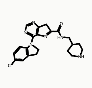 O=C(NCC1CCNCC1)C1=Nc2c(ncnc2N2CCc3cc(Cl)ccc32)C1